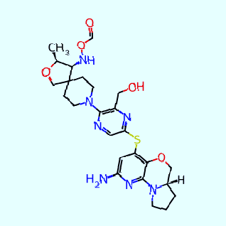 C[C@@H]1OCC2(CCN(c3ncc(Sc4cc(N)nc5c4OC[C@@H]4CCCN54)nc3CO)CC2)[C@@H]1NOC=O